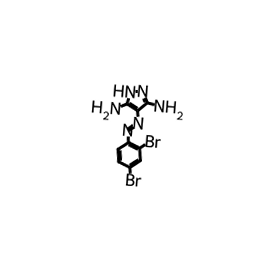 Nc1n[nH]c(N)c1N=Nc1ccc(Br)cc1Br